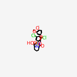 COc1ccc(OCCN2C[C@H](O)C3CCCC(C2=O)N3S(=O)(=O)c2cc(Cl)cc(Cl)c2)cc1OC